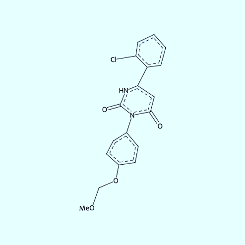 COCOc1ccc(-n2c(=O)cc(-c3ccccc3Cl)[nH]c2=O)cc1